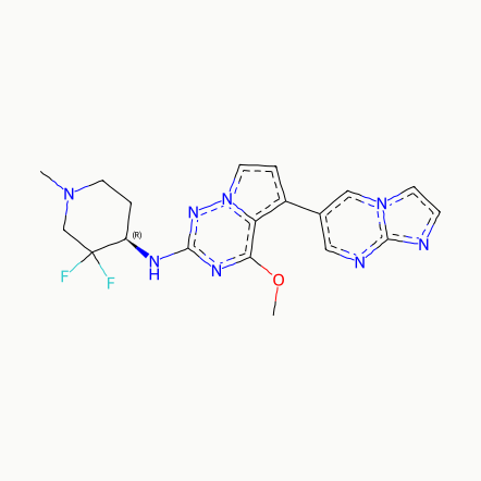 COc1nc(N[C@@H]2CCN(C)CC2(F)F)nn2ccc(-c3cnc4nccn4c3)c12